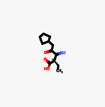 CC[C@H](C(=N)C(=O)CC1CCCC1)C(=O)O